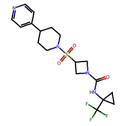 O=C(NC1(C(F)(F)F)CC1)N1CC(S(=O)(=O)N2CCC(c3ccncc3)CC2)C1